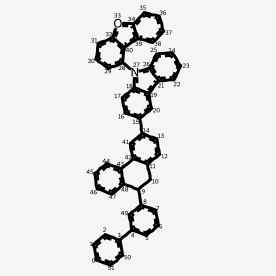 c1ccc(-c2cccc(C3Cc4ccc(-c5ccc6c(c5)c5ccccc5n6-c5cccc6oc7ccccc7c56)cc4-c4ccccc43)c2)cc1